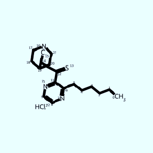 CCCCCCc1nccnc1C(=S)C1CN2CCC1CC2.Cl